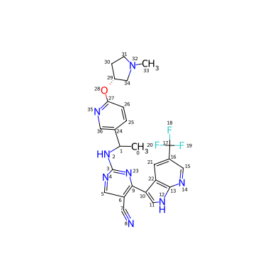 CC(Nc1ncc(C#N)c(-c2c[nH]c3ncc(C(F)(F)F)cc23)n1)c1ccc(O[C@@H]2CCN(C)C2)nc1